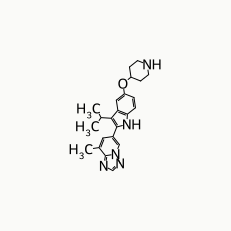 Cc1cc(-c2[nH]c3ccc(OC4CCNCC4)cc3c2C(C)C)cn2ncnc12